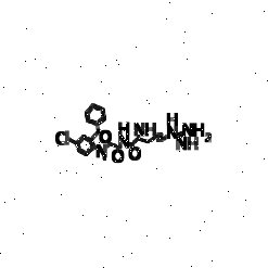 CN(CC(=O)NC(=O)[C@@H](N)CCCNC(=N)N)c1ccc(Cl)cc1C(=O)c1ccccc1